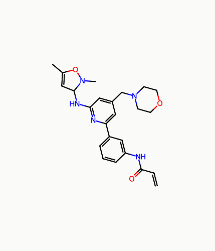 C=CC(=O)Nc1cccc(-c2cc(CN3CCOCC3)cc(NC3C=C(C)ON3C)n2)c1